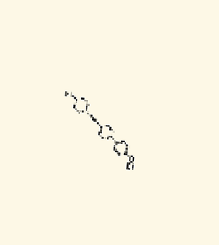 CCOc1ccc(-c2ccc(C#CC3=CCC(CC)CC3)cc2)cc1